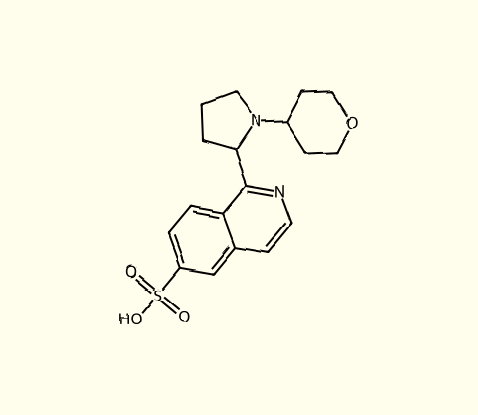 O=S(=O)(O)c1ccc2c(C3CCCN3C3CCOCC3)nccc2c1